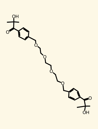 CC(C)(O)C(=O)c1ccc(COCCOCCOCCOCc2ccc(C(=O)C(C)(C)O)cc2)cc1